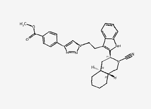 COC(=O)c1ccc(-c2cn(CCc3c([C@@H]4C[C@@H]5CCCC[C@H]5CN4C#N)[nH]c4ccccc34)nn2)cc1